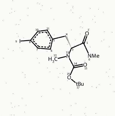 CNC(=O)[C@@H](Cc1ccc(I)cc1)N(C)C(=O)OC(C)(C)C